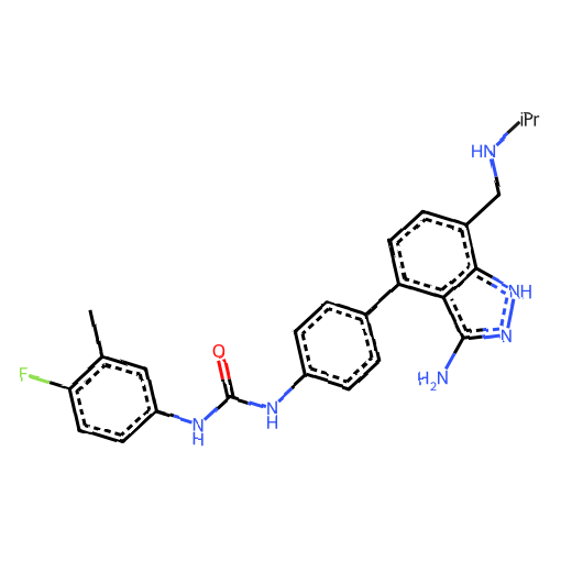 Cc1cc(NC(=O)Nc2ccc(-c3ccc(CNC(C)C)c4[nH]nc(N)c34)cc2)ccc1F